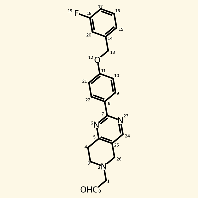 O=CCN1CCc2nc(-c3ccc(OCc4cccc(F)c4)cc3)ncc2C1